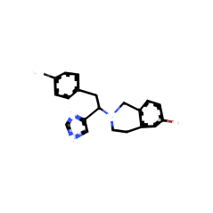 N#Cc1ccc(CC(c2cnc[nH]2)N2CCc3cc(Br)ccc3C2)cc1